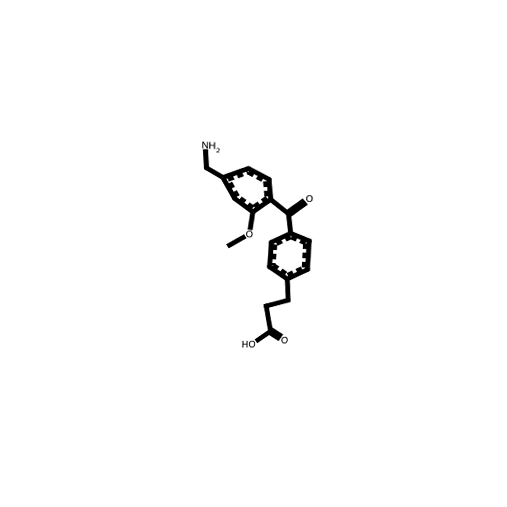 COc1cc(CN)ccc1C(=O)c1ccc(CCC(=O)O)cc1